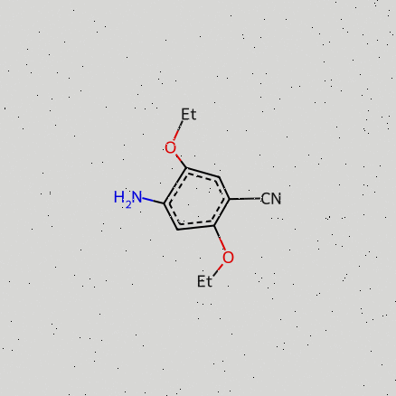 CCOc1cc(C#N)c(OCC)cc1N